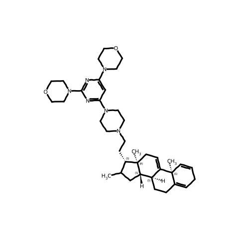 CC1C[C@H]2[C@@H]3CCC4=CCC=C[C@]4(C)C3=CC[C@]2(C)[C@H]1CCN1CCN(c2cc(N3CCOCC3)nc(N3CCOCC3)n2)CC1